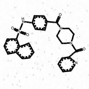 O=C(c1ccc(NS(=O)(=O)c2cccc3ccccc23)cc1)N1CCN(C(=O)c2ccccn2)CC1